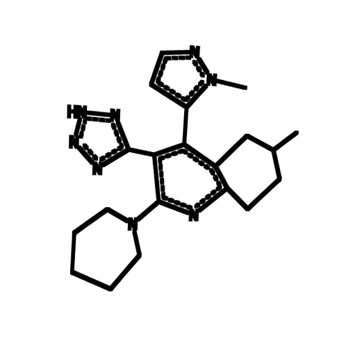 CC1CCc2nc(N3CCCCC3)c(-c3nn[nH]n3)c(-c3ccnn3C)c2C1